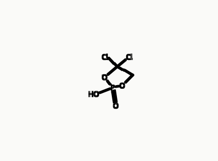 O=P1(O)OCC(Cl)(Cl)O1